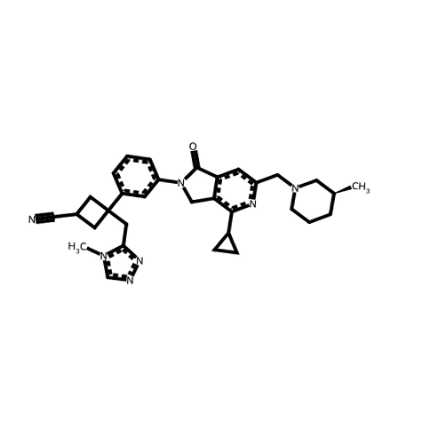 C[C@H]1CCCN(Cc2cc3c(c(C4CC4)n2)CN(c2cccc(C4(Cc5nncn5C)CC(C#N)C4)c2)C3=O)C1